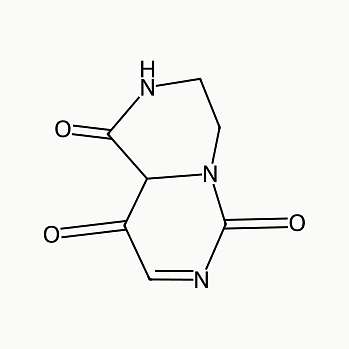 O=C1C=NC(=O)N2CCNC(=O)C12